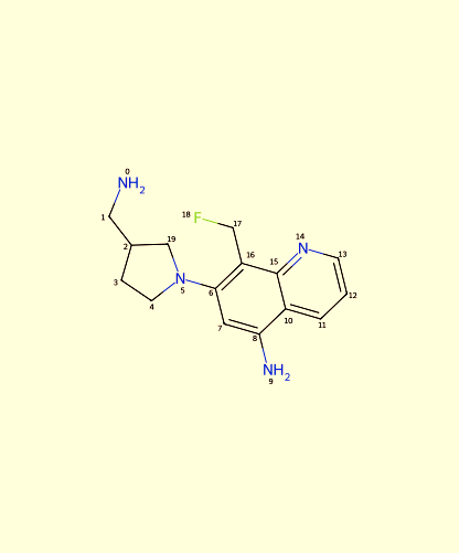 NCC1CCN(c2cc(N)c3cccnc3c2CF)C1